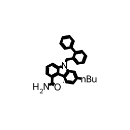 CCCCc1c[c]c2c3c(C(N)=O)cccc3n(Cc3ccccc3-c3ccccc3)c2c1